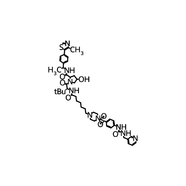 Cc1ncsc1-c1ccc(C(C)NC(=O)C2CC(O)CN2C(=O)[C@@H](NC(=O)CCCCCCN2CCN(S(=O)(=O)c3ccc(NC(=O)NCc4cccnc4)cc3)CC2)C(C)(C)C)cc1